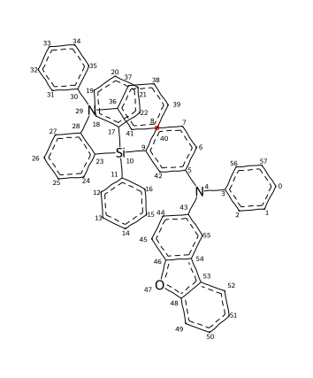 c1ccc(N(c2cccc([Si](c3ccccc3)(c3ccccc3)c3ccccc3N(c3ccccc3)c3ccccc3)c2)c2ccc3oc4ccccc4c3c2)cc1